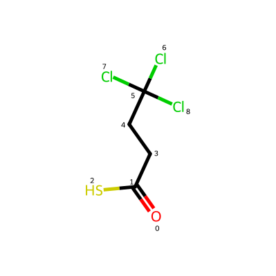 O=C(S)CCC(Cl)(Cl)Cl